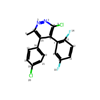 Cc1nnc(Cl)c(-c2cc(F)ccc2F)c1-c1ccc(Cl)cc1